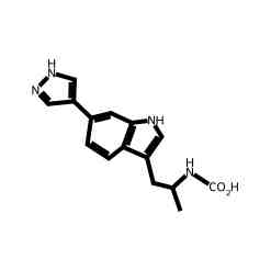 CC(Cc1c[nH]c2cc(-c3cn[nH]c3)ccc12)NC(=O)O